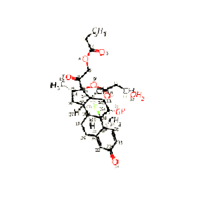 CCC(=O)OCC(=O)[C@@]1(OC(=O)CC)[C@@H](C)C[C@H]2[C@@H]3CCC4=CC(=O)C=C[C@]4(C)[C@@]3(F)[C@@H](O)C[C@@]21C.O